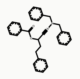 O=C(OC(C#[N+]N(Cc1ccccc1)Cc1ccccc1)CCc1ccccc1)c1ccccc1